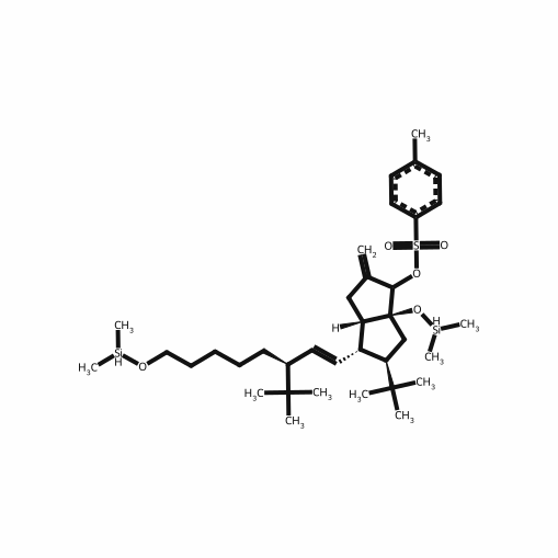 C=C1C[C@H]2[C@@H](C=C[C@H](CCCCCO[SiH](C)C)C(C)(C)C)[C@H](C(C)(C)C)C[C@@]2(O[SiH](C)C)C1OS(=O)(=O)c1ccc(C)cc1